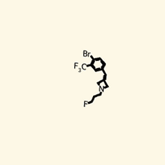 FCCCN1CC(=Cc2ccc(Br)c(C(F)(F)F)c2)C1